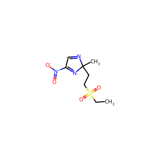 CCS(=O)(=O)CCC1(C)N=[C]C([N+](=O)[O-])=N1